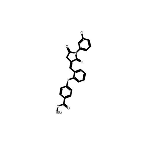 CCCCOC(=O)c1ccc(Oc2ccccc2/C=C2/CC(=O)N(c3cccc(Cl)c3)C2=O)cc1